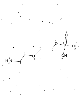 NCCOCCOP(=O)(O)O